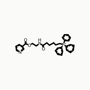 O=C(CCCCC[P+](c1ccccc1)(c1ccccc1)c1ccccc1)NCCOC(=O)c1cccnc1